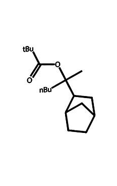 CCCCC(C)(OC(=O)C(C)(C)C)C1CC2CCC1C2